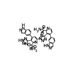 NS(=O)(=O)c1nccc(-c2ccc3cn[nH]c3c2)c1-c1nnn(-c2cc(-c3ccc4[nH]ncc4c3)c(-c3nn[nH]n3)c(S(N)(=O)=O)n2)n1